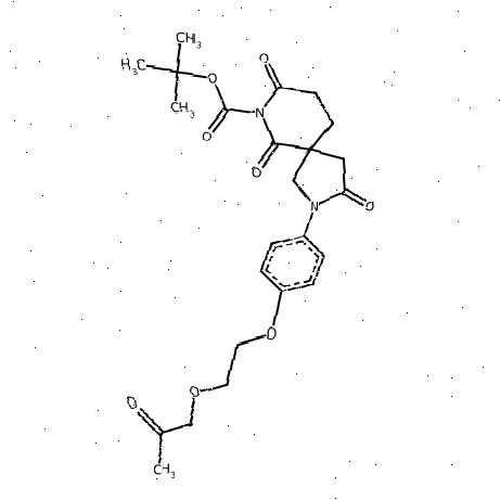 CC(=O)COCCOc1ccc(N2CC3(CCC(=O)N(C(=O)OC(C)(C)C)C3=O)CC2=O)cc1